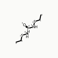 CCSN[PH](=O)NSCC